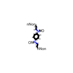 CCCCCCCCC/C=C/N(N=O)c1ccc(N(/C=C/CCCCCCCCC)N=O)cc1